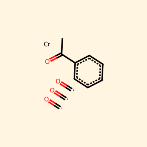 CC(=O)c1ccccc1.[C]=O.[C]=O.[C]=O.[Cr]